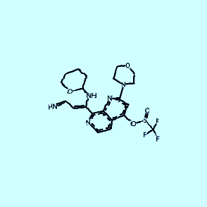 N=C/C=C(\NC1CCCCO1)c1nccc2c(OS(=O)C(F)(F)F)cc(N3CCOCC3)nc12